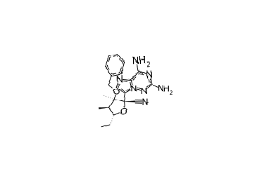 CC[C@H]1O[C@@](C#N)(c2cnc3c(N)nc(N)nn23)[C@](C)(OCc2ccccc2)[C@@H]1C